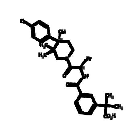 CC(C)[C@@H](NC(=O)c1cccc(C(C)(C)C(=O)O)c1)C(=O)N1CC[C@](O)(c2ccc(Cl)cc2)C(C)(C)C1